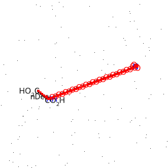 CCCCCCCCCCCC(CCCCCCCCCCC(=O)O)(NCCOCCOCCOCCOCCOCCOCCOCCOCCOCCOCCOCCOCCOCCOCCOCCOCCOCCOCCOCCOCCOCCOCCOCCOCCC(=O)ON1C(=O)CCC1=O)C(=O)O